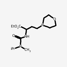 CCOC(=O)C(CCN1CCOCC1)NC(=O)N(C)C(C)C